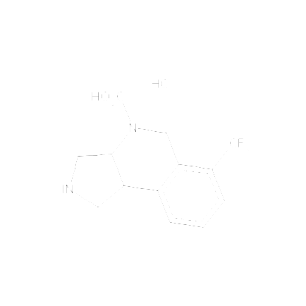 Cl.O=C(O)N1Cc2c(cccc2C(F)(F)F)C2CNCC21